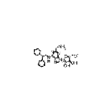 COC[C@H]1O[C@@H](n2cnc3c(NCC(c4ccccc4)c4ccccc4)nc(CN)nc32)[C@H](O)[C@@H]1O